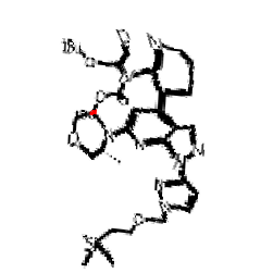 C[C@@H]1COCCN1c1cc(-c2cccnc2N(C(=O)OC(C)(C)C)C(=O)OC(C)(C)C)c2cnn(-c3ccn(COCC[Si](C)(C)C)n3)c2n1